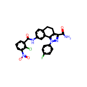 NC(=O)c1nn(-c2ccc(F)cc2)c2c1CCc1ccc(NC(=O)c3cccc([N+](=O)[O-])c3Cl)cc1-2